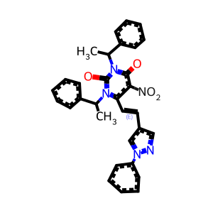 CC(c1ccccc1)n1c(/C=C/c2cnn(-c3ccccc3)c2)c([N+](=O)[O-])c(=O)n(C(C)c2ccccc2)c1=O